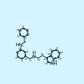 c1ccc(CNc2cccc(CNCCc3c[nH]c4ccccc34)c2)cc1